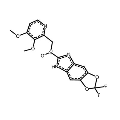 COc1ccnc(C[S+]([O-])c2nc3cc4c(cc3[nH]2)OC(F)(F)O4)c1OC